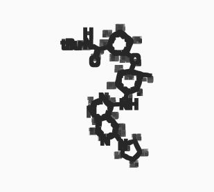 Cc1cc(Nc2ncnc3cnc(N4CCCC4)cc23)ccc1Oc1cccc(C(=O)NC(C)(C)C)c1